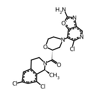 C[C@H]1c2c(Cl)cc(Cl)cc2CCN1C(=O)[C@H]1CN(c2c(Cl)ncc3nc(N)oc23)CCO1